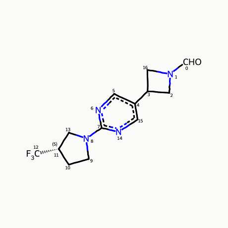 O=CN1CC(c2cnc(N3CC[C@H](C(F)(F)F)C3)nc2)C1